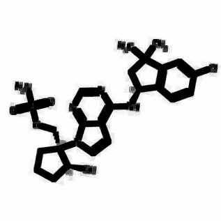 CC1(C)C[C@H](Nc2ncnc3c2ccn3[C@]2(COS(N)(=O)=O)CCC[C@@H]2O)c2ccc(Cl)cc21